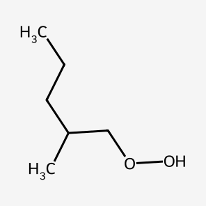 CCCC(C)COO